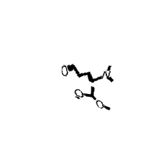 CN(C)CCCC=O.COC(C)OC